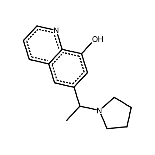 CC(c1cc(O)c2ncccc2c1)N1CCCC1